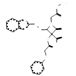 C=C(C)C1(NC(=O)COc2ccccc2)C(=O)N(CC(=O)OC)C1SSc1nc2ccccc2s1